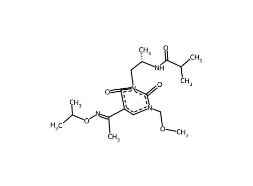 COCn1cc(/C(C)=N/OC(C)C)c(=O)n(C[C@H](C)NC(=O)C(C)C)c1=O